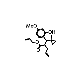 C=CCOC(=O)C(CC=C)C(c1ccc(OC)cc1O)C1(C)CC1